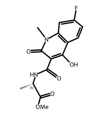 COC(=O)[C@H](C)NC(=O)c1c(O)c2ccc(F)cc2n(C)c1=O